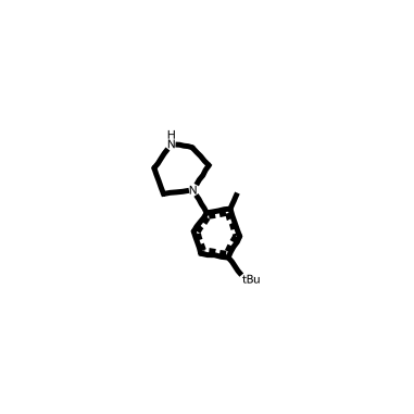 Cc1cc(C(C)(C)C)ccc1N1CCNCC1